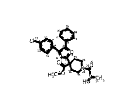 COC(=O)C1(c2nc(-c3ccc(Cl)cc3)c(-c3ccccc3)o2)CCN(C(=O)N(C)O)CC1